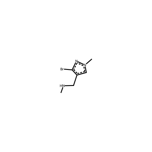 CNCc1cn(C)nc1Br